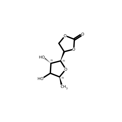 C[C@@H]1O[C@H](C2COC(=O)O2)[C@@H](O)C1O